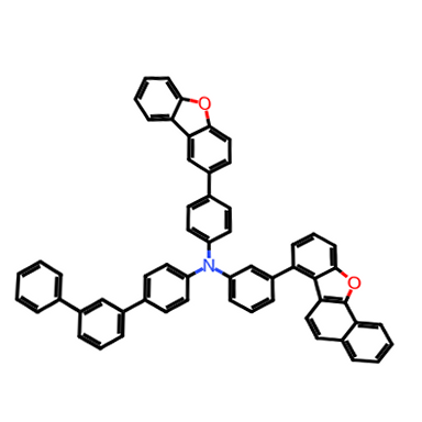 c1ccc(-c2cccc(-c3ccc(N(c4ccc(-c5ccc6oc7ccccc7c6c5)cc4)c4cccc(-c5cccc6oc7c8ccccc8ccc7c56)c4)cc3)c2)cc1